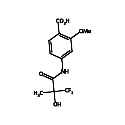 COc1cc(NC(=O)C(C)(O)C(F)(F)F)ccc1C(=O)O